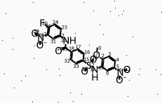 COc1ccc([N+](=O)[O-])cc1NS(=O)(=O)c1ccc(C(=O)Nc2ccc(F)c([N+](=O)[O-])c2)cc1